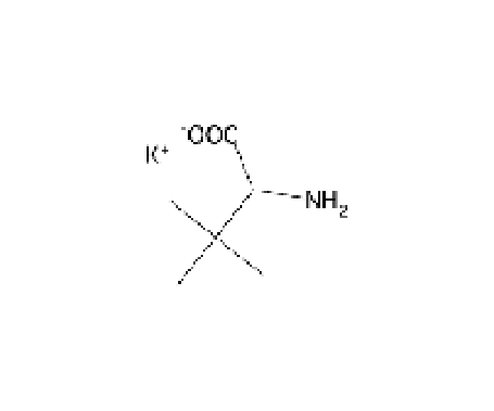 CC(C)(C)C(N)C(=O)[O-].[K+]